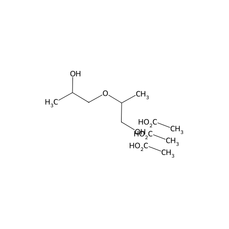 CC(=O)O.CC(=O)O.CC(=O)O.CC(O)COC(C)CO